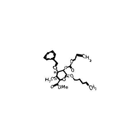 C=CCCCO[C@@H]1OC(C(=O)OC)[C@@H](C)[C@@H](OCc2ccccc2)C1OC(=O)OCC=C